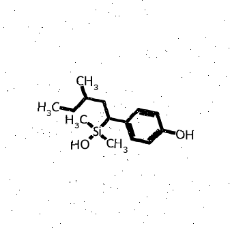 CCC(C)CC(c1ccc(O)cc1)[Si](C)(C)O